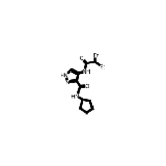 CCC(CC)C(=O)Nc1c[nH]nc1C(=O)NC1CCCC1